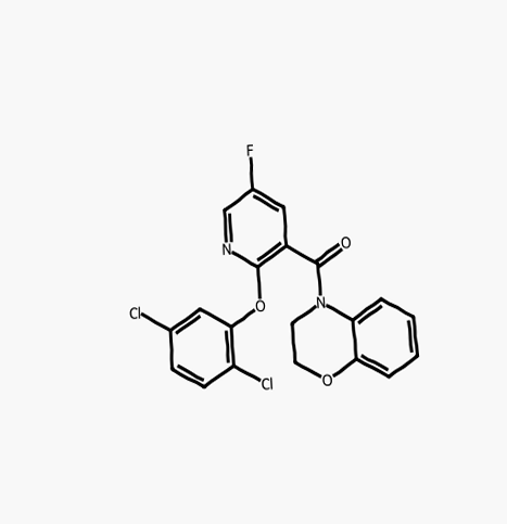 O=C(c1cc(F)cnc1Oc1cc(Cl)ccc1Cl)N1CCOc2ccccc21